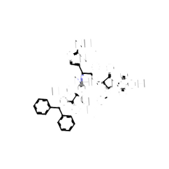 CC[C@@H]1[C@@H](NC(=O)/C(=N\OC(C)(C)C(=O)OC(c2ccccc2)c2ccccc2)c2csc(N)n2)C(=O)N1S(=O)(=O)O